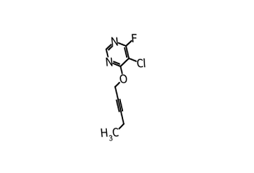 CCC#CCOc1ncnc(F)c1Cl